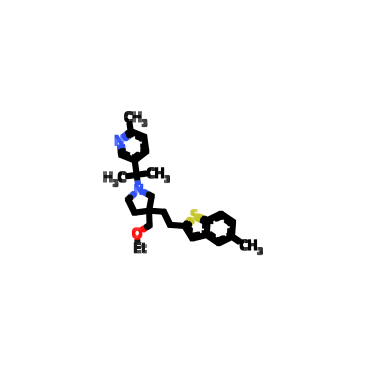 CCOCC1(CCc2cc3cc(C)ccc3s2)CCN(C(C)(C)c2ccc(C)nc2)C1